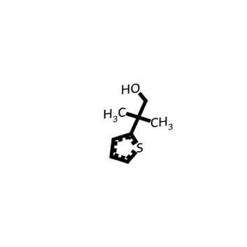 CC(C)(CO)c1cccs1